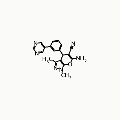 Cc1nn(C)c2c1C(c1cccc(-c3cncnc3)c1)C(C#N)=C(N)O2